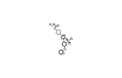 NC(=O)OC1CCC(c2ncc(-c3ccc(Oc4ccccn4)cc3S(=O)(=O)C3CC3)s2)CC1